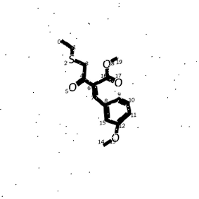 CCSCC(=O)C(=Cc1cccc(OC)c1)C(=O)OC